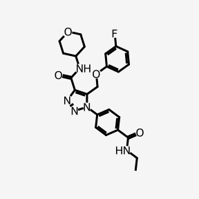 CCNC(=O)c1ccc(-n2nnc(C(=O)NC3CCOCC3)c2COc2cccc(F)c2)cc1